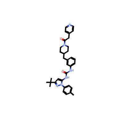 Cc1ccc(-n2nc(C(C)(C)C)cc2NC(=O)Nc2cccc(CC3CCN(C(=O)Cc4ccncc4)CC3)c2)cc1